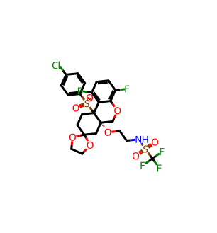 O=S(=O)(NCCO[C@@]12COc3c(F)ccc(F)c3C1(S(=O)(=O)c1ccc(Cl)cc1)CCC1(C2)OCCO1)C(F)(F)F